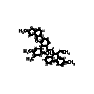 C=CC1C(CCc2ccc3c(oc4c5cc(C)sc5ccc34)c2-c2cc(C)c(C)c[n+]2C)c2ccccc2-c2ccc(C)c[n+]21